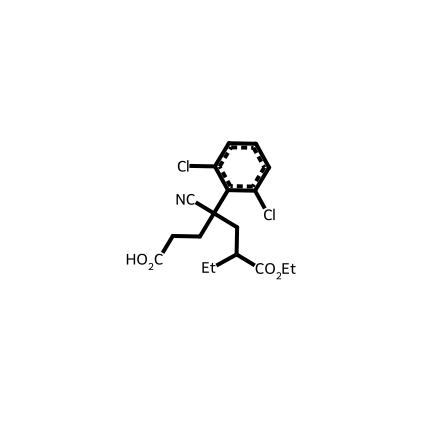 CCOC(=O)C(CC)CC(C#N)(CCC(=O)O)c1c(Cl)cccc1Cl